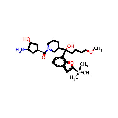 COCCCC[C@@](O)(c1cccc2cc([Si](C)(C)C)oc12)[C@@H]1CCCN(C(=O)[C@H]2C[C@@H](N)[C@@H](O)C2)C1